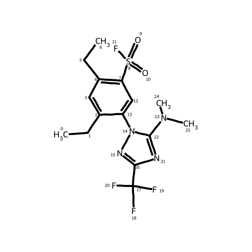 CCc1cc(CC)c(S(=O)(=O)F)cc1-n1nc(C(F)(F)F)nc1N(C)C